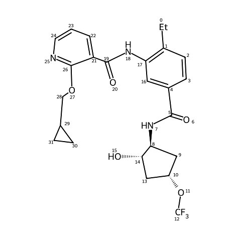 CCc1ccc(C(=O)N[C@H]2C[C@H](OC(F)(F)F)C[C@@H]2O)cc1NC(=O)c1cccnc1OCC1CC1